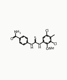 COc1c(NC(=S)Nc2ccc(C(N)=O)cc2)cc(Cl)c(C)c1Cl